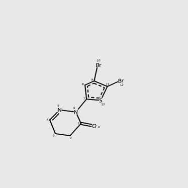 O=C1CCC=NN1c1cc(Br)c(Br)s1